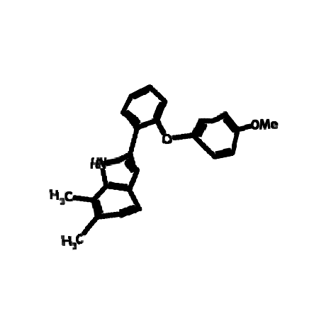 COc1ccc(Oc2ccccc2-c2cc3ccc(C)c(C)c3[nH]2)cc1